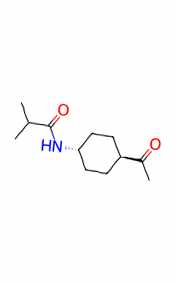 CC(=O)[C@H]1CC[C@H](NC(=O)C(C)C)CC1